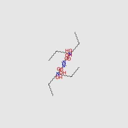 CCCCCCCC/C=C\CCCCCCC(O)CN(CCC(=O)OCCN1CC(C)N(CCOC(=O)CCN(CC(O)CCCCCC/C=C\CCCCCCCC)CC(O)CCCCCC/C=C\CCCCCCCC)CC1C)CC(O)CCCCCC/C=C\CCCCCCCC